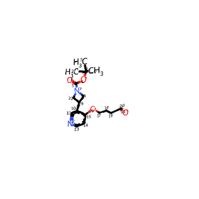 CC(C)(C)OC(=O)N1CC(c2cnccc2OCCCC=O)C1